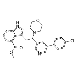 COC(=O)c1cccc2[nH]cc(CC(c3cncc(-c4ccc(Cl)cc4)c3)N3CCOCC3)c12